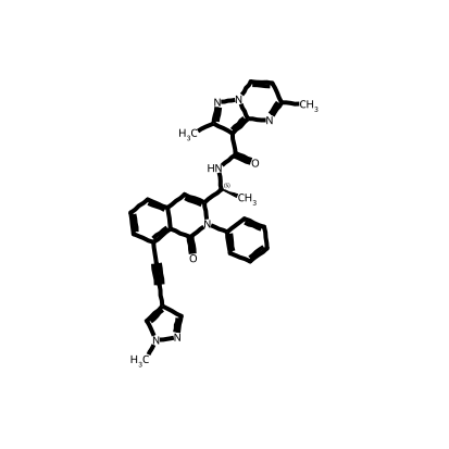 Cc1ccn2nc(C)c(C(=O)N[C@@H](C)c3cc4cccc(C#Cc5cnn(C)c5)c4c(=O)n3-c3ccccc3)c2n1